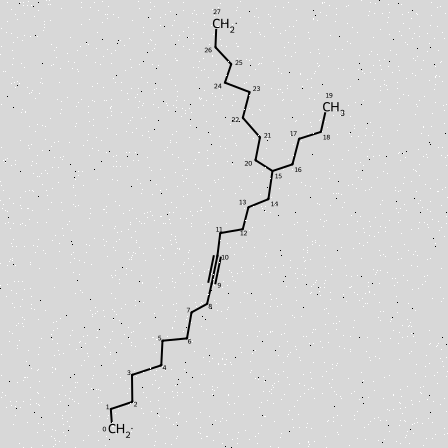 [CH2]CCCCCCCCC#CCCCCC(CCCC)CCCCCCC[CH2]